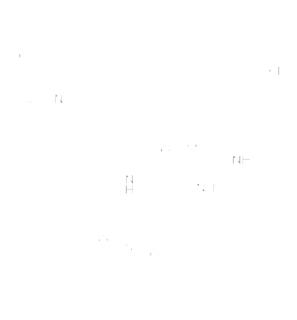 CS(=O)(=O)CC[C@@H](NC(=O)Nc1ccc(Cl)cc1)C(=O)Nc1ccc(N2CCOCC2=O)cc1